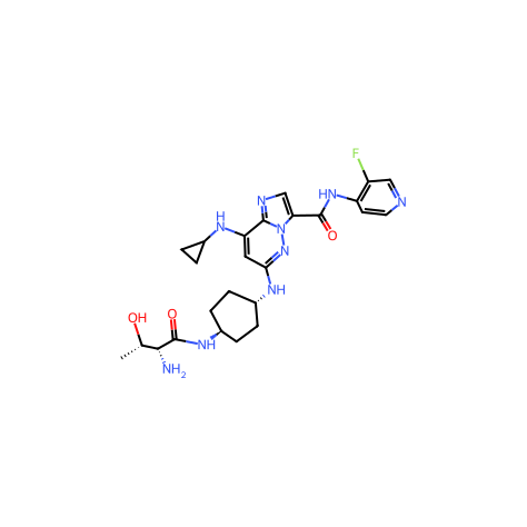 C[C@H](O)[C@@H](N)C(=O)N[C@H]1CC[C@H](Nc2cc(NC3CC3)c3ncc(C(=O)Nc4ccncc4F)n3n2)CC1